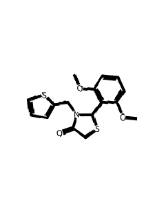 COc1cccc(OC)c1C1SCC(=O)N1Cc1cccs1